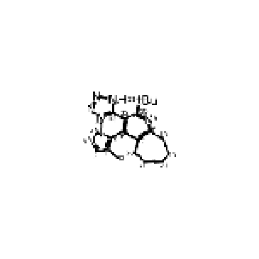 Cc1cn[nH]c1-c1c2c(nc(C(C)(C)C)c1-c1nnn[nH]1)CCCCC2